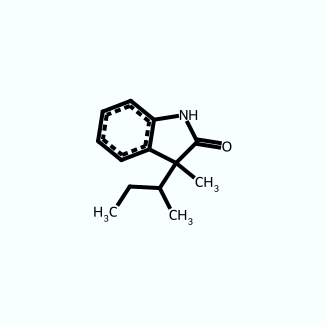 CCC(C)C1(C)C(=O)Nc2ccccc21